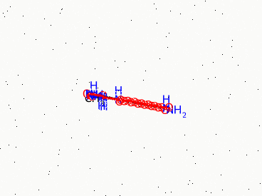 Cc1cc(=O)nc(NC(=O)NCCCCCCNC(=O)NCCCCCCCCCCCCNC(=O)OCCOCCOCCOCCOCCOCCOCCOCCOCCOCCOCCOCCOCCC(=O)NCC(N)=O)[nH]1